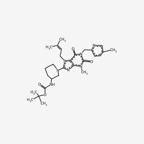 CC(C)=CCn1c(N2CCCC(NC(=O)OC(C)(C)C)C2)nc2c1c(=O)n(Cc1ccc(C)cn1)c(=O)n2C